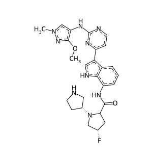 COc1nn(C)cc1Nc1nccc(-c2c[nH]c3c(NC(=O)C4C[C@H](F)CN4[C@@H]4CCNC4)cccc23)n1